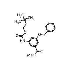 COC(=O)c1cc(NC(=O)OCC[Si](C)(C)C)cc(OCc2ccccc2)c1